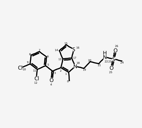 Cc1c(C(=O)c2cccc(Cl)c2Cl)c2ccsc2n1CCCNS(C)(=O)=O